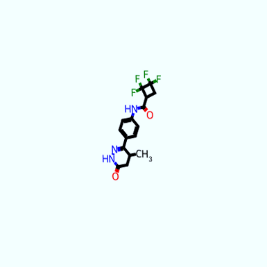 CC1CC(=O)NN=C1c1ccc(NC(=O)C2CC(F)(F)C2(F)F)cc1